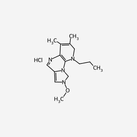 CCCN1CC(C)=C(C)C2=C1N1CN(OC)C=C1C=N2.Cl